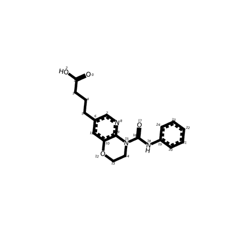 O=C(O)CCCc1cnc2c(c1)OCCN2C(=O)Nc1ccccc1